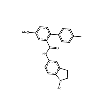 COc1ccc(-c2ccc(C)cc2)c(C(=O)Nc2ccc3c(c2)CCN3C(C)=O)c1